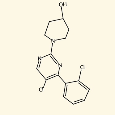 OC1CCN(c2ncc(Cl)c(-c3ccccc3Cl)n2)CC1